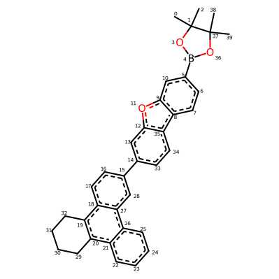 CC1(C)OB(c2ccc3c(c2)oc2cc(-c4ccc5c6c(c7ccccc7c5c4)CCCC6)ccc23)OC1(C)C